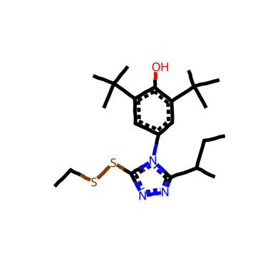 CCSSc1nnc(C(C)CC)n1-c1cc(C(C)(C)C)c(O)c(C(C)(C)C)c1